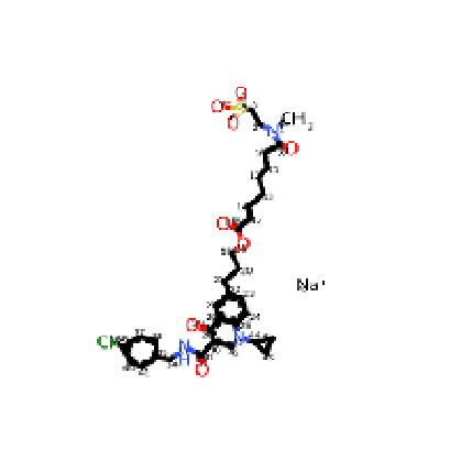 CN(CCS(=O)(=O)[O-])C(=O)CCCCCCC(=O)OCCCc1ccc2c(c1)c(=O)c(C(=O)NCc1ccc(Cl)cc1)cn2C1CC1.[Na+]